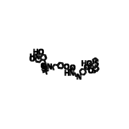 CC(Cc1ccc(OCC(=O)NCCN(C)[C@H]2CC[C@H](OC(=O)C(O)(c3cccs3)c3cccs3)CC2)cc1)NC[C@H](O[Si](C)(C)C(C)(C)C)c1ccc(O)c2[nH]c(=O)ccc12